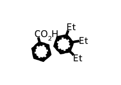 CCc1cccc(CC)c1CC.O=C(O)c1ccccc1